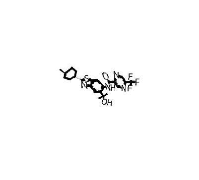 CC(C)(O)c1cc2nc([C@H]3CC[C@H](C)CC3)sc2cc1NC(=O)c1cnc(C(F)(F)F)cn1